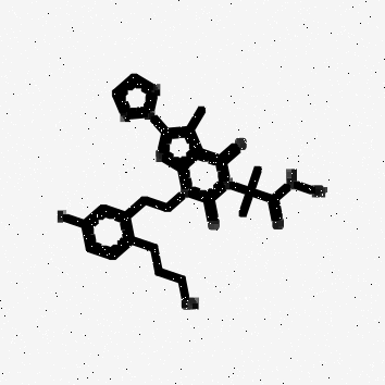 Cc1c(-n2nccn2)sc2c1c(=O)n(C(C)(C)C(=O)NC(C)C)c(=O)n2CCc1cc(F)ccc1CCCC#N